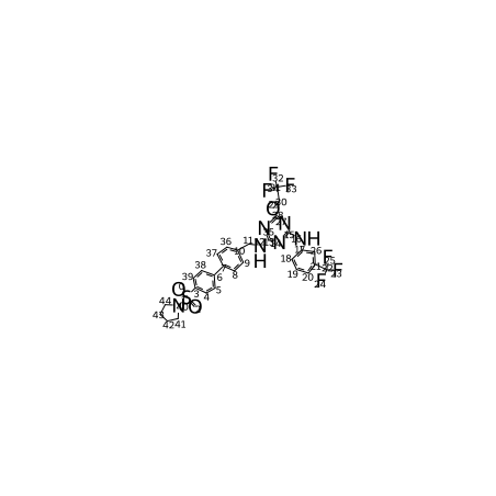 O=S(=O)(c1ccc(-c2ccc(CNc3nc(Nc4cccc(C(F)(F)F)c4)nc(OCC(F)(F)F)n3)cc2)cc1)N1CCCC1